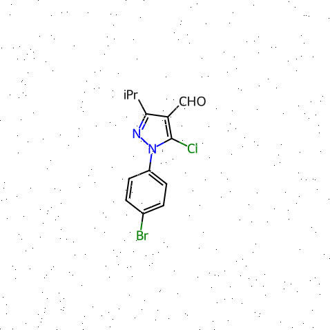 CC(C)c1nn(-c2ccc(Br)cc2)c(Cl)c1C=O